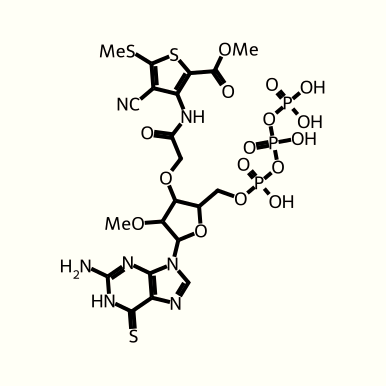 COC(=O)c1sc(SC)c(C#N)c1NC(=O)COC1C(COP(=O)(O)OP(=O)(O)OP(=O)(O)O)OC(n2cnc3c(=S)[nH]c(N)nc32)C1OC